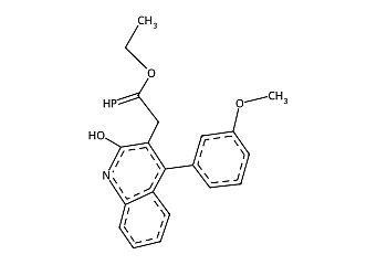 CCOC(=P)Cc1c(O)nc2ccccc2c1-c1cccc(OC)c1